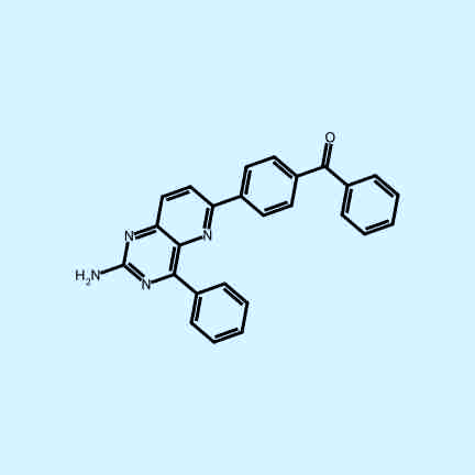 Nc1nc(-c2ccccc2)c2nc(-c3ccc(C(=O)c4ccccc4)cc3)ccc2n1